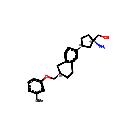 COc1cccc(OC[C@H]2CCc3cc([C@@H]4CC[C@@](N)(CO)C4)ccc3C2)c1